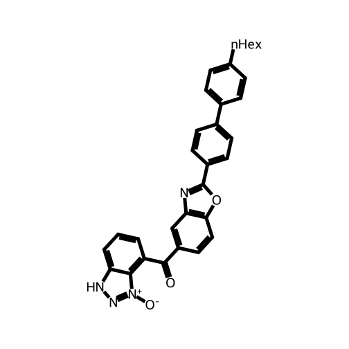 CCCCCCc1ccc(-c2ccc(-c3nc4cc(C(=O)c5cccc6[nH]n[n+]([O-])c56)ccc4o3)cc2)cc1